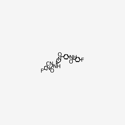 N#CC1CC(F)CN1C(=O)CNC1C2CN(C(=O)c3ccc(NC(=O)c4ccc(F)cc4)cc3)CC21